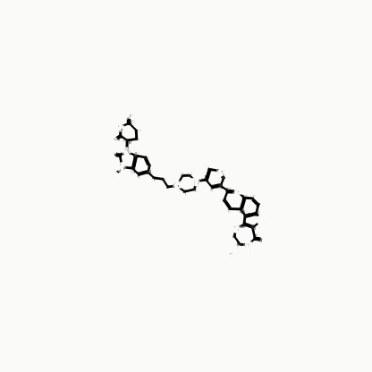 C[C@@H]1CNc2c(sc3ccc4nc(-c5cncc(N6CCN(CCCc7ccc8c(c7)n(C)c(=O)n8C7CCC(=O)NC7=O)CC6)c5)ccc4c23)C(=O)N1